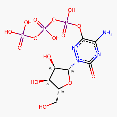 Nc1nc(=O)n([C@@H]2O[C@H](CO)[C@@H](O)[C@H]2O)nc1OP(=O)(O)OP(=O)(O)OP(=O)(O)O